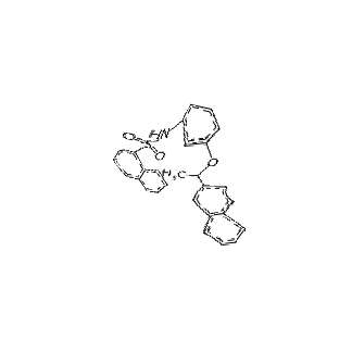 CC(Oc1cccc(NS(=O)(=O)c2cccc3ccccc23)c1)c1ccc2ccccc2c1